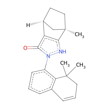 CC1(C)CC=Cc2cccc(-n3[nH]c4c(c3=O)[C@H]3CC[C@]4(C)C3)c21